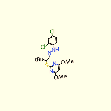 COc1cc(OC)nc(SC(/C=N/Nc2ccc(Cl)cc2Cl)C(C)(C)C)n1